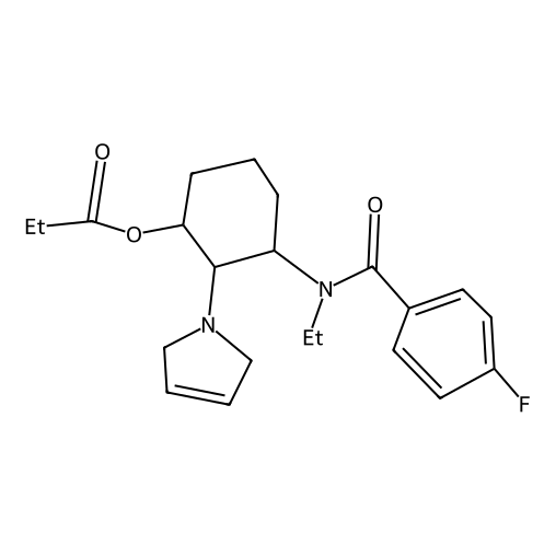 CCC(=O)OC1CCCC(N(CC)C(=O)c2ccc(F)cc2)C1N1CC=CC1